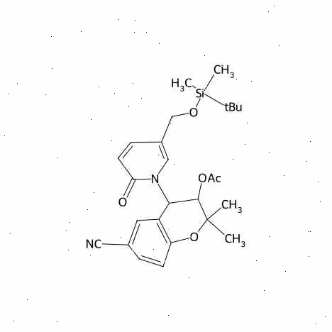 CC(=O)OC1C(n2cc(CO[Si](C)(C)C(C)(C)C)ccc2=O)c2cc(C#N)ccc2OC1(C)C